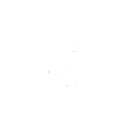 CCOCN1NC(C(=O)[C@H](CC(C)C)NC(=O)[C@H](CC(C)C)NC(=O)OCc2ccccc2)OC1=O